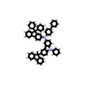 CC1(c2ccc3c(c2)c2cc(N(c4ccc(-c5ccccc5)cc4)c4ccc5c(c4)C(c4ccccc4)(C4C=CC=CC4)c4ccccc4-5)ccc2n3-c2ccccc2)c2ccccc2-c2ccccc21